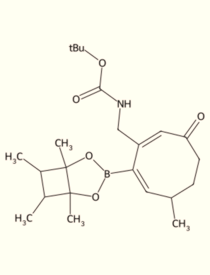 CC1/C=C(B2OC3(C)C(C)C(C)C3(C)O2)\C(CNC(=O)OC(C)(C)C)=C/C(=O)CC1